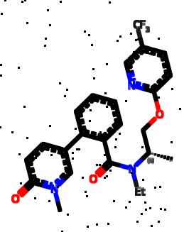 CCN(C(=O)c1ccccc1-c1ccc(=O)n(C)c1)[C@@H](C)COc1ccc(C(F)(F)F)cn1